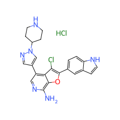 Cl.Nc1ncc(-c2cnn(C3CCNCC3)c2)c2c(Cl)c(-c3ccc4[nH]ccc4c3)oc12